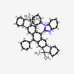 CC1(C)c2ccccc2-c2cc3c(-c4nc5ccccc5n4-c4ccccc4)c4cc5c(cc4c(-c4ccccc4)c3cc21)-c1ccccc1C5(C)C